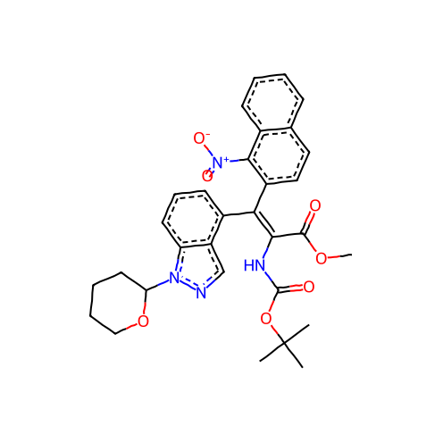 COC(=O)/C(NC(=O)OC(C)(C)C)=C(\c1ccc2ccccc2c1[N+](=O)[O-])c1cccc2c1cnn2C1CCCCO1